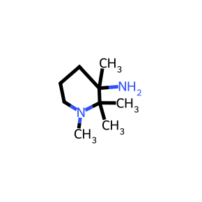 CN1CCCC(C)(N)C1(C)C